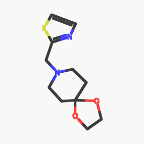 c1csc(CN2CCC3(CC2)OCCO3)n1